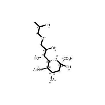 CC(=O)N[C@H]1[C@H]([C@H](O)[C@H](O)COCC(C)O)O[C@](O)(C(=O)O)C[C@@H]1OC(C)=O